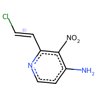 Nc1ccnc(/C=C/Cl)c1[N+](=O)[O-]